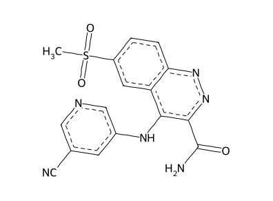 CS(=O)(=O)c1ccc2nnc(C(N)=O)c(Nc3cncc(C#N)c3)c2c1